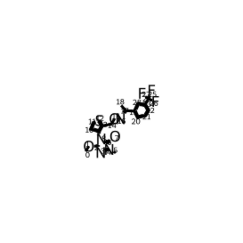 COc1nn(C)c(=O)n1-c1ccsc1CON=C(C)c1cccc(C(F)(F)F)c1